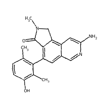 Cc1ccc(O)c(C)c1-c1cc2cnc(N)cc2c2c1C(=O)N(C)C2